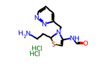 Cl.Cl.NCCC1SC=C(NC=O)N1Cc1cccnn1